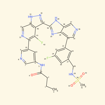 CCCC(=O)Nc1cncc(-c2ncc3[nH]nc(-c4nc5c(-c6cc(F)cc(CNS(C)(=O)=O)c6)cncc5[nH]4)c3c2F)c1